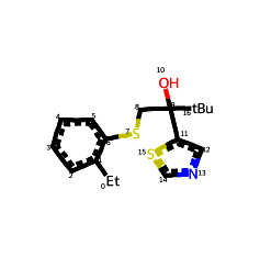 CCc1ccccc1SCC(O)(c1cncs1)C(C)(C)C